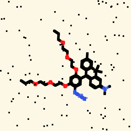 CCCOCCOCCOc1cc(OCCOCCOCCC)c(C2=C3C=CC(=[N+](C)C)C=C3[Si](C)(C)c3cc(C)ccc32)cc1N=[N+]=[N-]